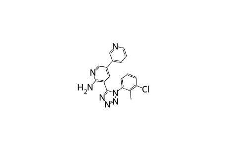 Cc1c(Cl)cccc1-n1nnnc1-c1cc(-c2cccnc2)cnc1N